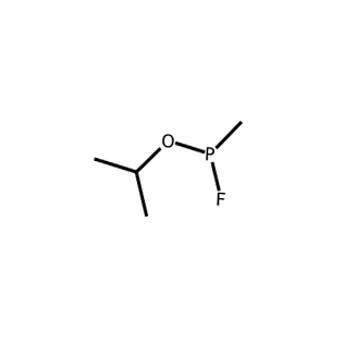 CC(C)OP(C)F